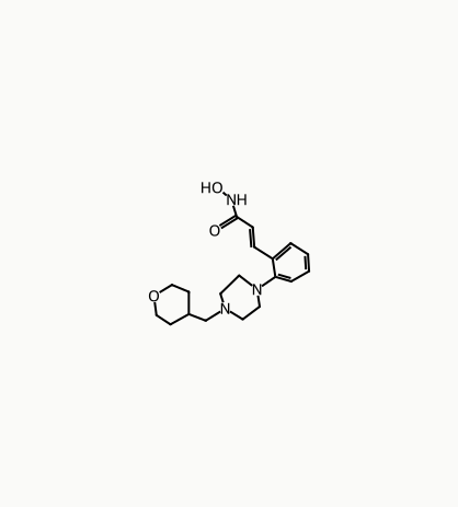 O=C(C=Cc1ccccc1N1CCN(CC2CCOCC2)CC1)NO